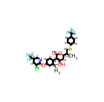 Cc1cc(Oc2ncc(C(F)(F)F)cc2Cl)ccc1C1=C(O)CC(C(C)CSc2ccc(C(F)(F)F)cc2)OC1=O